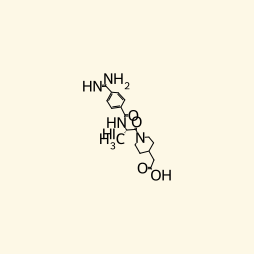 C[C@H](NC(=O)c1ccc(C(=N)N)cc1)C(=O)N1CCC(CC(=O)O)CC1.I